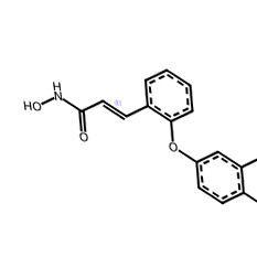 O=C(/C=C/c1ccccc1Oc1ccc(Cl)c(Cl)c1)NO